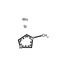 Cn1ccnc1.[Mo].[Si]